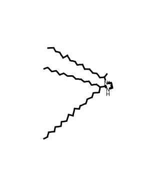 CCCCCCCCCCCCCCCCCCC(CCCCCCCCCCCCCC)c1[nH]cc[n+]1C(C)CCCCCCCCCCCCCCC